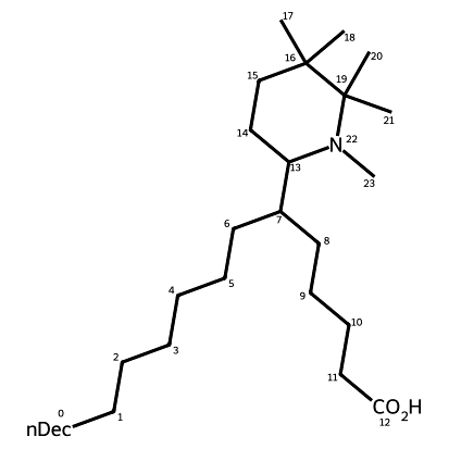 CCCCCCCCCCCCCCCCC(CCCCC(=O)O)C1CCC(C)(C)C(C)(C)N1C